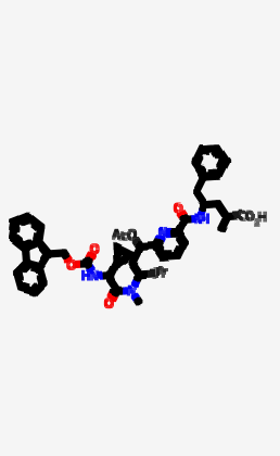 CC(=O)OC(CC(C(C)C)N(C)C(=O)C(NC(=O)OCC1c2ccccc2-c2ccccc21)C1CC1)c1cccc(C(=O)NC(Cc2ccccc2)CC(C)C(=O)O)n1